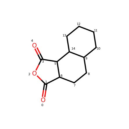 O=C1OC(=O)C2C1CCC1CCCCC12